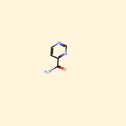 NC(=O)c1ccncn1